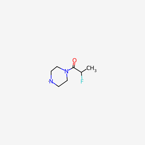 CC(F)C(=O)N1CC[N]CC1